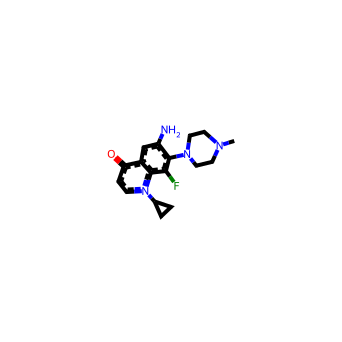 CN1CCN(c2c(N)cc3c(=O)ccn(C4CC4)c3c2F)CC1